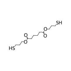 O=C(CCCCC(=O)OCCCS)OCCCS